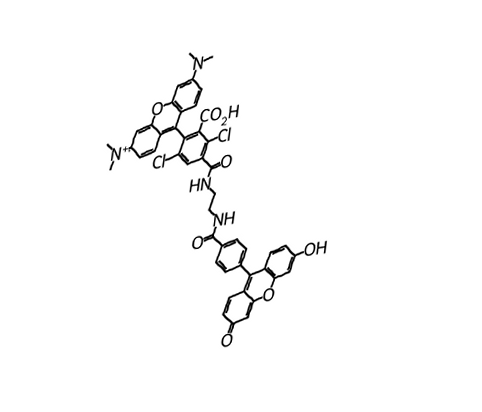 CN(C)c1ccc2c(-c3c(Cl)cc(C(=O)NCCNC(=O)c4ccc(-c5c6ccc(=O)cc-6oc6cc(O)ccc56)cc4)c(Cl)c3C(=O)O)c3ccc(=[N+](C)C)cc-3oc2c1